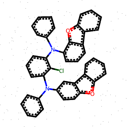 Clc1c(N(c2ccccc2)c2ccc3oc4ccccc4c3c2)cccc1N(c1ccccc1)c1cccc2c1oc1ccccc12